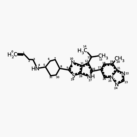 C=CCCNC1CCC(c2nc3c(C(C)C)c(-c4cc(C)c5ncnn5c4)[nH]c3s2)CC1